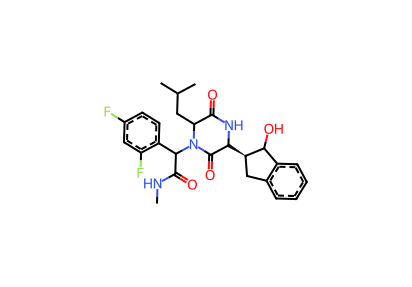 CNC(=O)C(c1ccc(F)cc1F)N1C(=O)C([C@@H]2Cc3ccccc3C2O)NC(=O)C1CC(C)C